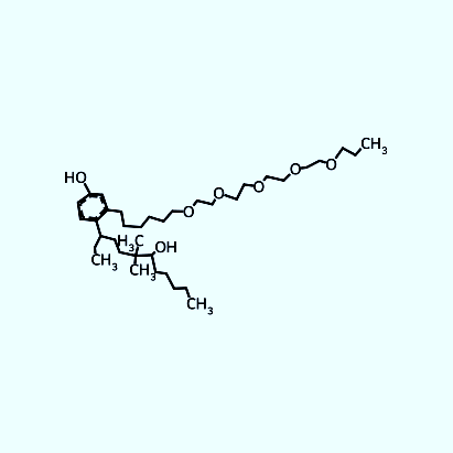 CCCCCC(O)C(C)(C)CCC(CC)c1ccc(O)cc1CCCCCCOCCOCCOCCOCCOCCC